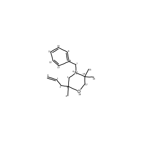 C=CCC1(C)CN(Cc2ccccc2)C(C)(C)CO1